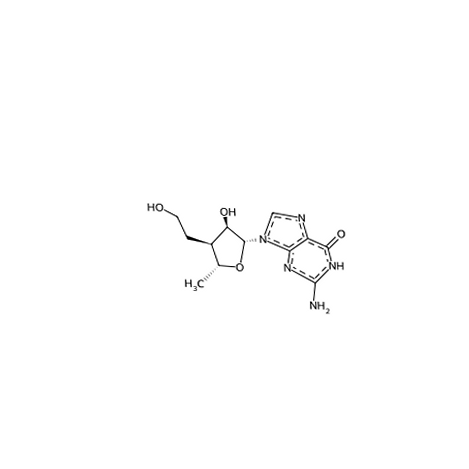 C[C@H]1O[C@@H](n2cnc3c(=O)[nH]c(N)nc32)[C@H](O)[C@@H]1CCO